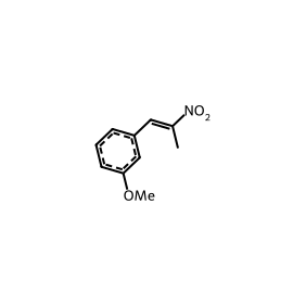 COc1cccc(C=C(C)[N+](=O)[O-])c1